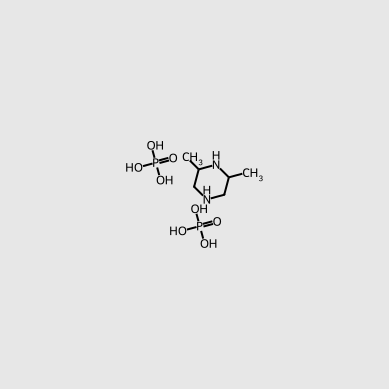 CC1CNCC(C)N1.O=P(O)(O)O.O=P(O)(O)O